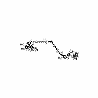 CS(=S)CO[C@H]1CC(n2cc(C#CCNC(=O)OCCCCOCSSC(C)(C)CCOC(=O)NCCOCCOCCNC(=O)c3ccc(C(=O)O)c(-c4c5ccc(=N)c(S(=O)(=O)O)c-5oc5c(S(=O)(=O)O)c(N)ccc45)c3)c(N)nc2=O)O[C@@H]1COP(=O)(O)OP(=O)(O)OP(=O)(O)O